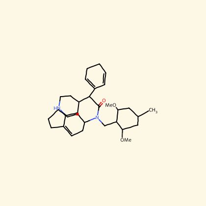 COC1CC(C)CC(OC)C1CN(C(=O)C(C1=CCCC=C1)C1CCNCC1)C1CC=C2CCCC2C1